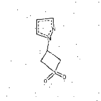 O=S1(=O)CC(n2c[c]cn2)C1